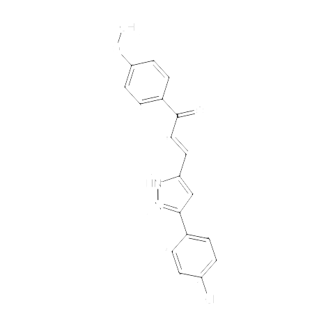 COc1ccc(C(=O)C=Cc2cc(-c3ccc(Cl)cc3)n[nH]2)cc1